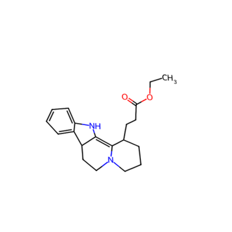 CCOC(=O)CCC1CCCN2CCC3C(=C12)Nc1ccccc13